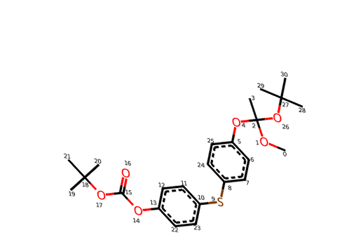 COC(C)(Oc1ccc(Sc2ccc(OC(=O)OC(C)(C)C)cc2)cc1)OC(C)(C)C